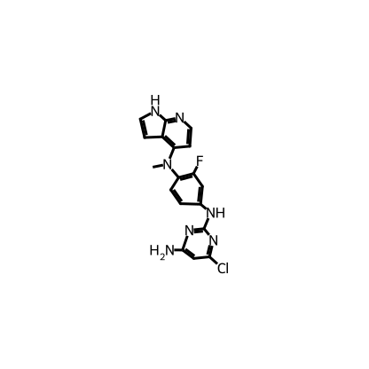 CN(c1ccc(Nc2nc(N)cc(Cl)n2)cc1F)c1ccnc2[nH]ccc12